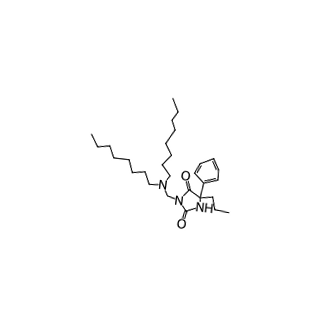 CCCCCCCCN(CCCCCCCC)CN1C(=O)NC(CCC)(c2ccccc2)C1=O